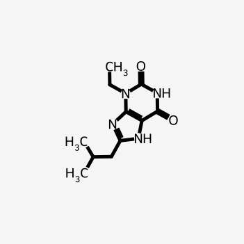 CCn1c(=O)[nH]c(=O)c2[nH]c(CC(C)C)nc21